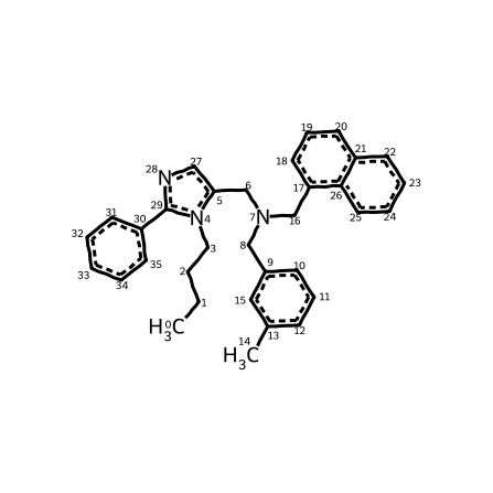 CCCCn1c(CN(Cc2cccc(C)c2)Cc2cccc3ccccc23)cnc1-c1ccccc1